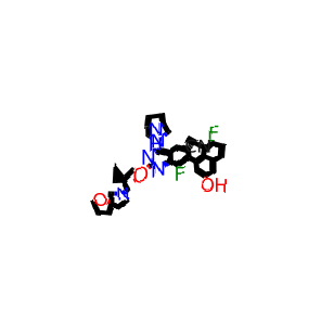 C#Cc1c(F)ccc2cc(O)cc(-c3c(C#N)cc4c(N5CC6CCC(C5)N6)nc(OCC5(CN6CCC7(CCCO7)C6)CC5)nc4c3F)c12